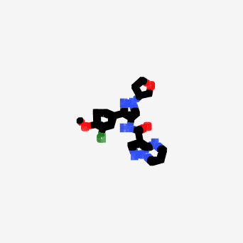 COc1ccc(-c2nn(C3CCOC3)cc2NC(=O)c2cnn3cccnc23)cc1Cl